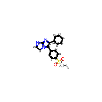 CS(=O)(=O)c1ccc(-c2c(-c3ccccc3)nc3n2CC=N3)cc1